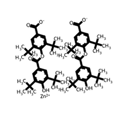 CC(C)(C)c1cc(C(=O)Oc2c(C(C)(C)C)cc(C(=O)[O-])cc2C(C)(C)C)cc(C(C)(C)C)c1O.CC(C)(C)c1cc(C(=O)Oc2c(C(C)(C)C)cc(C(=O)[O-])cc2C(C)(C)C)cc(C(C)(C)C)c1O.[Zn+2]